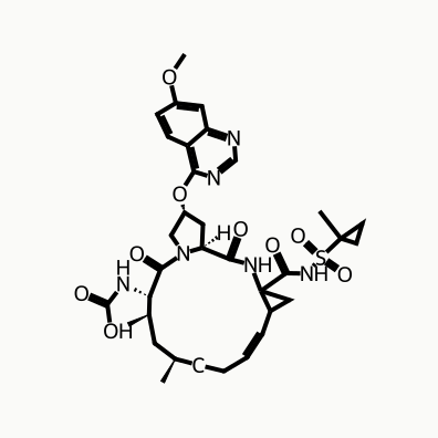 COc1ccc2c(O[C@@H]3C[C@H]4C(=O)NC5(C(=O)NS(=O)(=O)C6(C)CC6)CC5/C=C\CC[C@@H](C)C[C@@H](C)[C@H](NC(=O)O)C(=O)N4C3)ncnc2c1